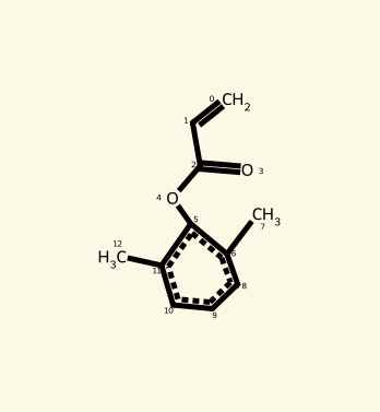 C=CC(=O)Oc1c(C)[c]ccc1C